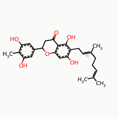 CC(C)=CCC/C(C)=C/Cc1c(O)cc2c(c1O)C(=O)CC(c1cc(O)c(C)c(O)c1)O2